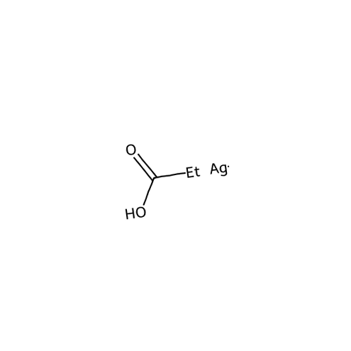 CCC(=O)O.[Ag]